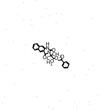 CC(C)(C(=O)OCC(=O)c1ccccc1)n1c(=O)[nH]c2cc3ccccc3cc2c1=O